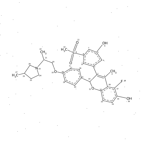 CC1=C(c2cc(O)cc(S(C)(=O)=O)c2)C(c2ccc(OCC(C)N3CCC(C)C3)cc2)Oc2ccc(O)c(F)c21